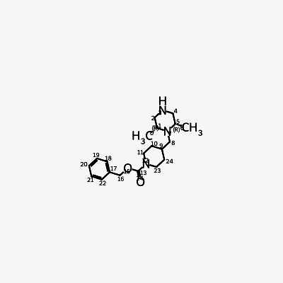 C[C@@H]1CNC[C@@H](C)N1CC1CCN(C(=O)OCc2ccccc2)CC1